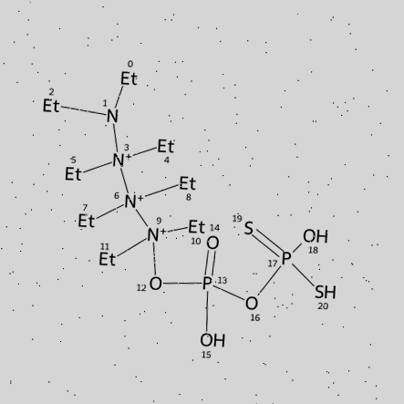 CCN(CC)[N+](CC)(CC)[N+](CC)(CC)[N+](CC)(CC)OP(=O)(O)OP(O)(=S)S